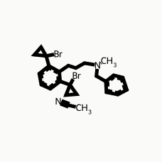 CC#N.CN(CCCc1c(C2(Br)CC2)cccc1C1(Br)CC1)Cc1ccccc1